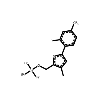 Cc1cc(-c2ccc(C(F)(F)F)cc2F)sc1CO[Si](C(C)C)(C(C)C)C(C)C